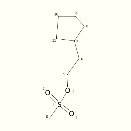 CS(=O)(=O)OCCC1CCCC1